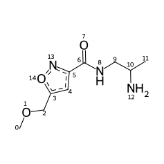 COCc1cc(C(=O)NCC(C)N)no1